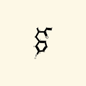 C=CC(=O)C(C)Cc1cccc(F)c1